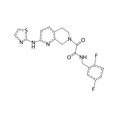 O=C(NCc1cc(F)ccc1F)C(=O)N1CCc2ccc(Nc3nccs3)nc2C1